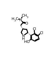 CN(C)C(=O)C[C@H]1CN[C@@H](c2c(O)ccc(Cl)c2Cl)C1